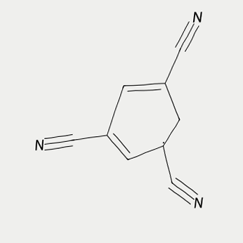 N#C[C]1C=C(C#N)C=C(C#N)C1